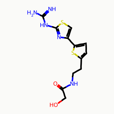 N=C(N)Nc1nc(-c2ccc(CCNC(=O)CO)s2)cs1